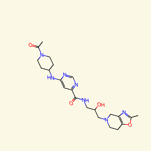 CC(=O)N1CCC(Nc2cc(C(=O)NCC(O)CN3CCc4oc(C)nc4C3)ncn2)CC1